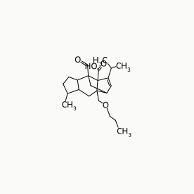 CCCOCC12CC3C(C)CCC3C3(C=O)CC1C=C(C(C)C)C32C(=O)O